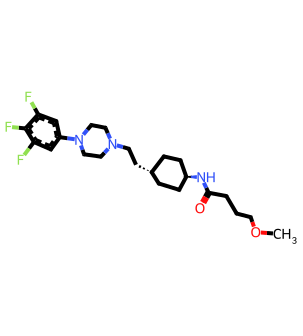 COCCCC(=O)N[C@H]1CC[C@H](CCN2CCN(c3cc(F)c(F)c(F)c3)CC2)CC1